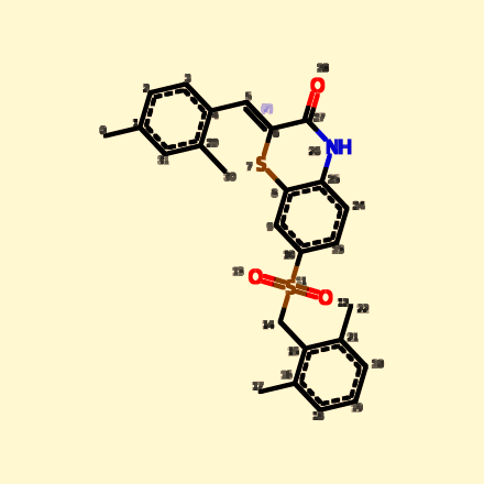 Cc1ccc(/C=C2\Sc3cc(S(=O)(=O)Cc4c(C)cccc4C)ccc3NC2=O)c(C)c1